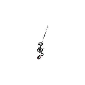 CCCCCCCCCCCCCCCCOCC(COP(=O)([O-])OC(C)c1cccc([N+]23CCC(CC2)CC3)c1)OC(C)=O